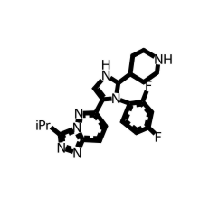 CC(C)c1nnc2ccc(C3=CNC(C4CCNCC4)N3c3ccc(F)cc3F)nn12